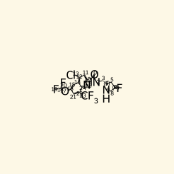 O=C(NC[C@@H]1C[C@@H](F)CN1)c1cc(Cl)c2cc(OC(F)F)cc(C(F)(F)F)c2n1